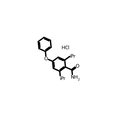 CC(C)c1cc(Oc2ccccc2)cc(C(C)C)c1C(N)=O.Cl